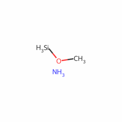 CO[SiH3].N